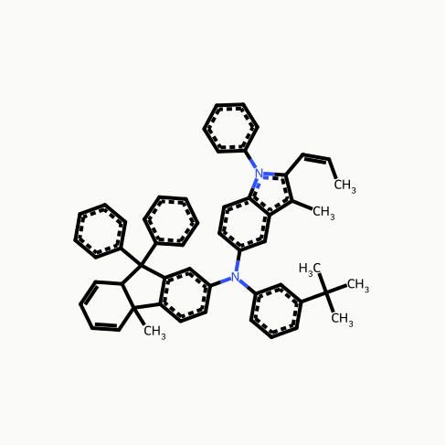 C/C=C\c1c(C)c2cc(N(c3cccc(C(C)(C)C)c3)c3ccc4c(c3)C(c3ccccc3)(c3ccccc3)C3C=CC=CC43C)ccc2n1-c1ccccc1